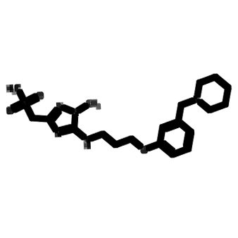 Cn1nc(CS(C)(=O)=O)nc1NCCCOc1cccc(CN2CCCCC2)c1